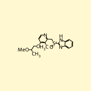 COC(C)COc1ccnc(C[S+]([O-])c2nc3ccccc3[nH]2)c1C